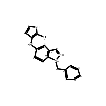 CCc1[nH]ccc1Nc1ccc2c(cnn2Cc2ccccc2)c1